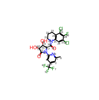 Cc1cc(C(F)(F)F)cc(N2C(=O)[C@@H](O)[C@@H](O)[C@H]2C(=O)N2CCCc3c2cc(Cl)c(F)c3Cl)n1